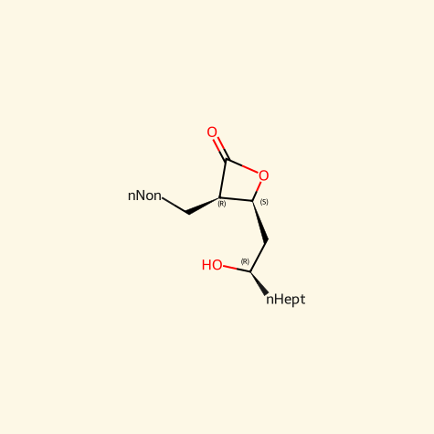 CCCCCCCCCC[C@H]1C(=O)O[C@H]1C[C@H](O)CCCCCCC